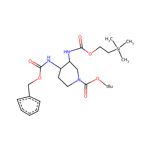 CC(C)(C)OC(=O)N1CCC(NC(=O)OCc2ccccc2)C(NC(=O)OCC[Si](C)(C)C)C1